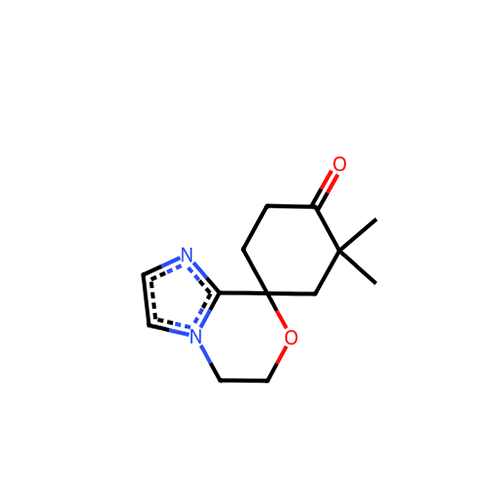 CC1(C)CC2(CCC1=O)OCCn1ccnc12